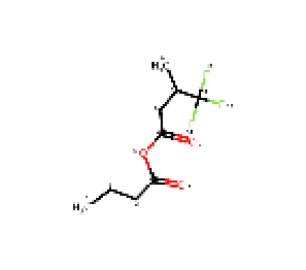 CCCC(=O)OC(=O)CC(C)C(F)(F)F